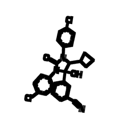 N#Cc1cccc(C2(O)C(C3CCC3)N(c3ccc(Cl)cc3)C(=O)N2c2ccc(Cl)cc2)c1